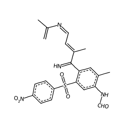 C=C(C)/N=C\C=C(/C)C(=N)c1cc(C)c(NC=O)cc1S(=O)(=O)c1ccc([N+](=O)[O-])cc1